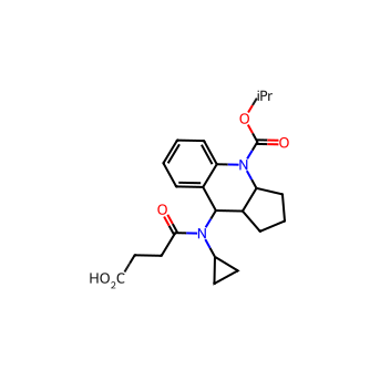 CC(C)OC(=O)N1c2ccccc2C(N(C(=O)CCC(=O)O)C2CC2)C2CCCC21